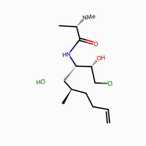 C=CCC[C@@H](C)C[C@H](NC(=O)[C@H](C)NC)[C@H](O)CCl.Cl